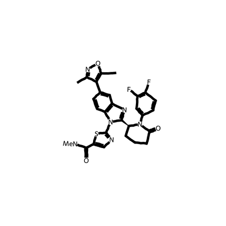 CNC(=O)c1cnc(-n2c([C@@H]3CCCC(=O)N3c3ccc(F)c(F)c3)nc3cc(-c4c(C)noc4C)ccc32)s1